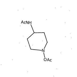 CC(=O)NC1CCN(OC(C)=O)CC1